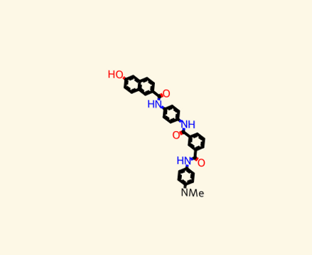 CNc1ccc(NC(=O)c2cccc(C(=O)Nc3ccc(NC(=O)c4ccc5cc(O)ccc5c4)cc3)c2)cc1